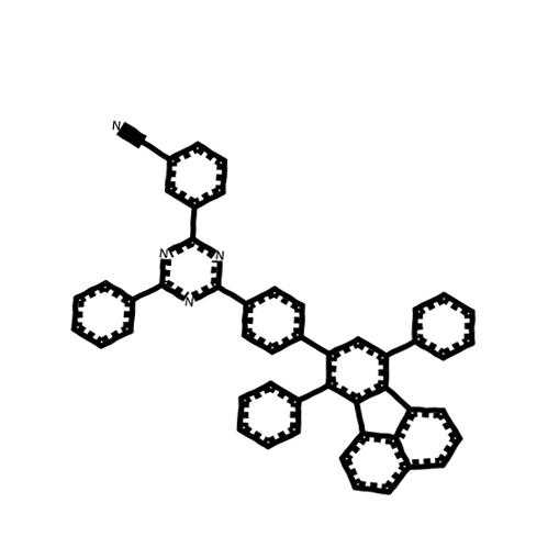 N#Cc1cccc(-c2nc(-c3ccccc3)nc(-c3ccc(-c4cc(-c5ccccc5)c5c(c4-c4ccccc4)-c4cccc6cccc-5c46)cc3)n2)c1